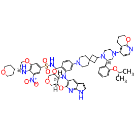 CC(C)Oc1ccccc1[C@@H]1CN(c2ccnc3c2CCCO3)CCN1C1CC2(CCN(c3ccc(C(=O)NS(=O)(=O)c4cc5c(c([N+](=O)[O-])c4)N[C@H](C4CCOCC4)CO5)c(N4c5cc6cc[nH]c6nc5O[C@H]5COCC[C@@H]54)c3)CC2)C1